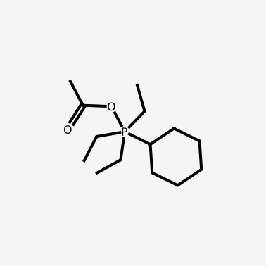 CCP(CC)(CC)(OC(C)=O)C1CCCCC1